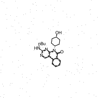 CCCCNc1ncc2c3ccccc3c(=O)n([C@H]3CC[C@H](O)CC3)c2n1